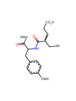 CNC(=O)C(Cc1ccc(OC)cc1)NC(=O)/C(=C\CC(=O)O)CC(C)C